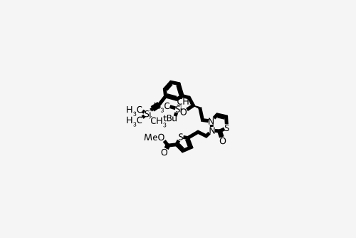 COC(=O)c1ccc(CCN2C(=O)SC=CN2CC[C@H](Cc2cccc(C#C[Si](C)(C)C)c2)O[Si](C)(C)C(C)(C)C)s1